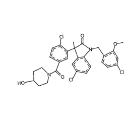 COc1cc(Cl)ccc1CN1C(=O)C(C)(c2cc(C(=O)N3CCC(O)CC3)ccc2Cl)c2cc(Cl)ccc21